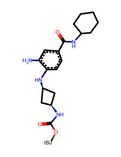 CC(C)(C)OC(=O)N[C@H]1C[C@@H](Nc2ccc(C(=O)NC3CCCCC3)cc2N)C1